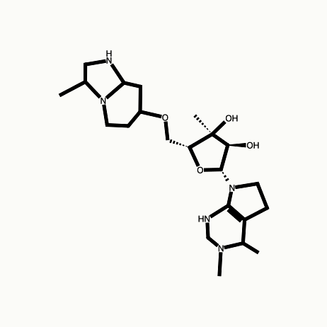 CC1C2=C(NCN1C)N([C@@H]1O[C@H](COC3CCN4C(C)CNC4C3)[C@@](C)(O)[C@H]1O)CC2